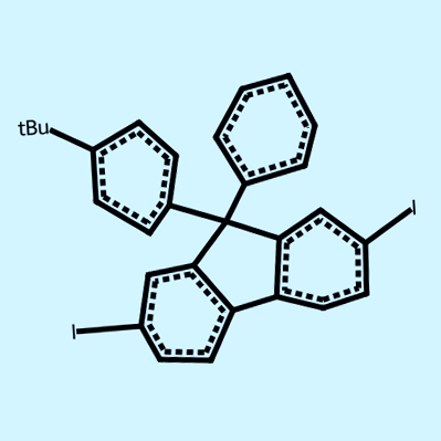 CC(C)(C)c1ccc(C2(c3ccccc3)c3cc(I)ccc3-c3ccc(I)cc32)cc1